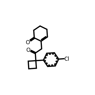 O=C1CCCC=C1CC(=O)C1(c2ccc(Cl)cc2)CCC1